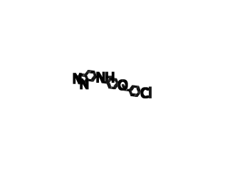 Clc1ccc(COc2ccc(CNc3ccc4cncnc4c3)cc2)cc1